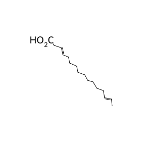 CC=CCCCCCCCCC/C=C/CC(=O)O